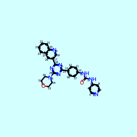 O=C(Nc1ccncc1)Nc1ccc(-c2nc(-c3cnc4ccccc4c3)nc(N3CCOCC3)n2)cc1